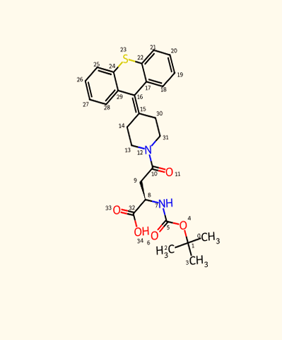 CC(C)(C)OC(=O)N[C@H](CC(=O)N1CCC(=C2c3ccccc3Sc3ccccc32)CC1)C(=O)O